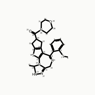 CSc1ccccc1C1=NCC2=NNC(C)N2c2sc3c(c21)CC(C(=O)N1CCOCC1)C3